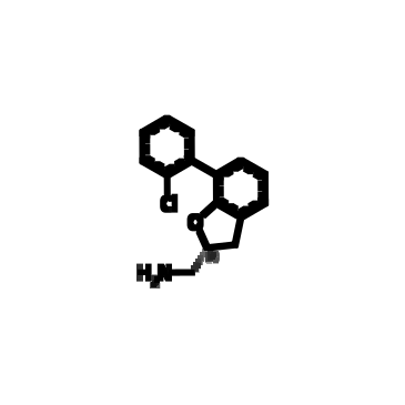 NC[C@H]1Cc2cccc(-c3ccccc3Cl)c2O1